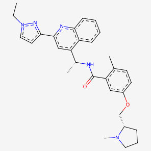 CCn1ccc(-c2cc([C@@H](C)NC(=O)c3cc(OC[C@@H]4CCCN4C)ccc3C)c3ccccc3n2)n1